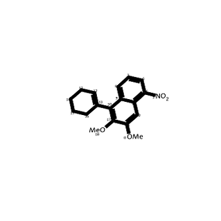 COc1cc2c([N+](=O)[O-])cccc2c(C2=CCCCC2)c1OC